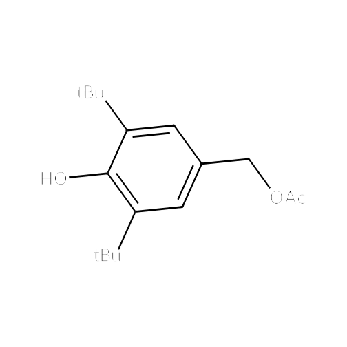 [CH2]C(=O)OCc1cc(C(C)(C)C)c(O)c(C(C)(C)C)c1